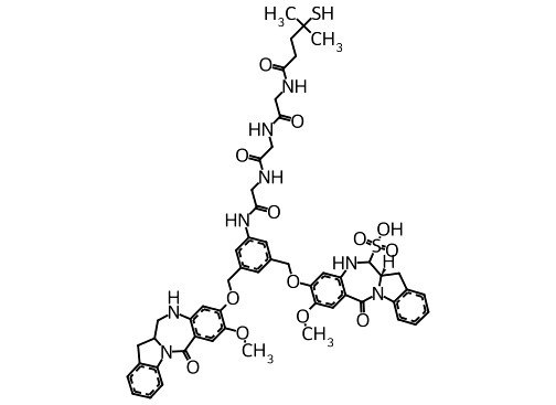 COc1cc2c(cc1OCc1cc(COc3cc4c(cc3OC)C(=O)N3c5ccccc5C[C@H]3C(S(=O)(=O)O)N4)cc(NC(=O)CNC(=O)CNC(=O)CNC(=O)CCC(C)(C)S)c1)NCC1Cc3ccccc3N1C2=O